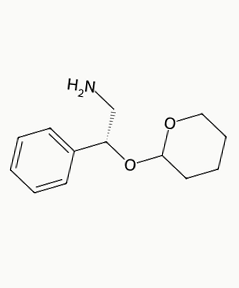 NC[C@H](OC1CCCCO1)c1ccccc1